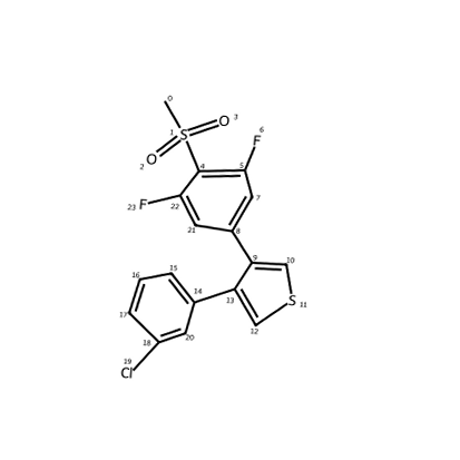 CS(=O)(=O)c1c(F)cc(-c2cscc2-c2cccc(Cl)c2)cc1F